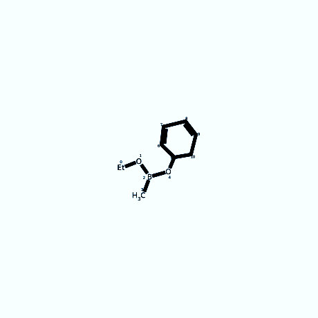 CCOB(C)OC1C=CC=CC1